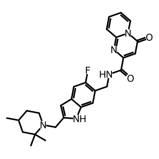 CC1CCN(Cc2cc3cc(F)c(CNC(=O)c4cc(=O)n5ccccc5n4)cc3[nH]2)C(C)(C)C1